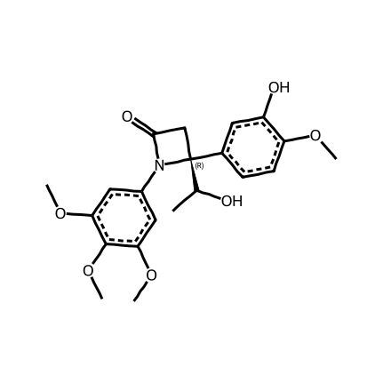 COc1ccc([C@@]2(C(C)O)CC(=O)N2c2cc(OC)c(OC)c(OC)c2)cc1O